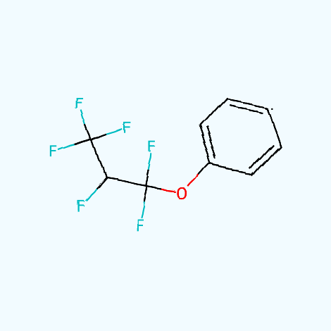 FC(C(F)(F)F)C(F)(F)Oc1cc[c]cc1